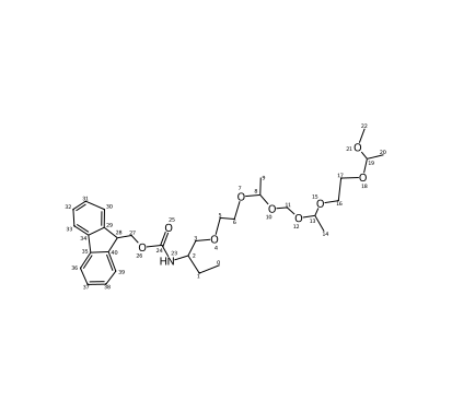 CCC(COCCOC(C)OCOC(C)OCCOC(C)OC)NC(=O)OCC1c2ccccc2-c2ccccc21